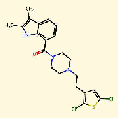 Cc1[nH]c2c(C(=O)N3CCN(CCc4cc(Cl)sc4Cl)CC3)cccc2c1C